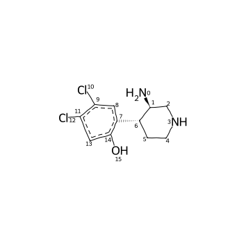 N[C@H]1CNCC[C@@H]1c1cc(Cl)c(Cl)cc1O